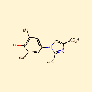 CC(C)(C)c1cc(-n2cc(C(=O)O)nc2C=O)cc(C(C)(C)C)c1O